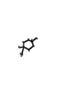 [2H]C1(C)CCN(C)CC1